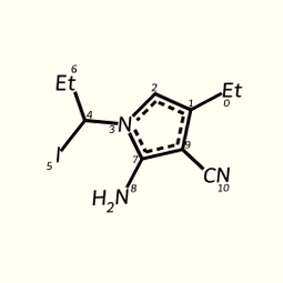 CCc1cn(C(I)CC)c(N)c1C#N